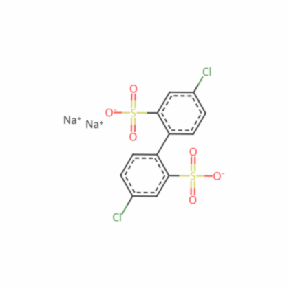 O=S(=O)([O-])c1cc(Cl)ccc1-c1ccc(Cl)cc1S(=O)(=O)[O-].[Na+].[Na+]